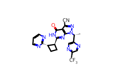 C[C@H](c1cnc(C(F)(F)F)cn1)n1nc(C#N)c2c(=O)[nH]c([C@H]3CC[C@@H]3c3ncccn3)nc21